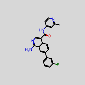 Cc1cc(NC(=O)C2=CN=C(N)C3C=C(c4cccc(F)c4)C=CC23)ccn1